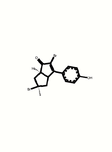 C[C@@]1(Br)CC2C(c3ccc(O)cc3)=C(Br)C(=O)[C@@H]2C1